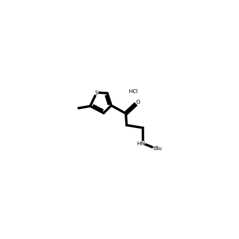 Cc1cc(C(=O)CCNC(C)(C)C)cs1.Cl